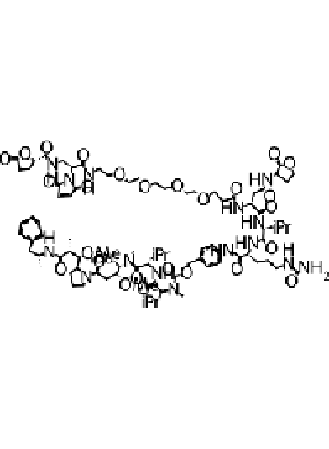 CC[C@H](C)[C@@H]([C@@H](CC(=O)N1CCCC1[C@H](OC)[C@@H](C)C(=O)N[C@H](C)Cc1ccccc1)OC)N(C)C(=O)[C@@H](NC(=O)[C@H](C(C)C)N(C)C(=O)OCc1ccc(NC(=O)[C@H](CCCNC(N)=O)NC(=O)[C@@H](NC(=O)[C@H](CC(=O)N[C@H]2CCOC2=O)NC(=O)CCOCCOCCOCCOCCNC(=O)[C@H](CNC(=O)[C@@H]2CCC(=O)O2)N2C(=O)C=CC2=O)C(C)C)cc1)C(C)C